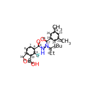 CC[C@@H](N(NC(=O)c1ccc2c(c1F)B(O)OC2)C(=O)c1cc(C)cc(C)c1)C(C)(C)C